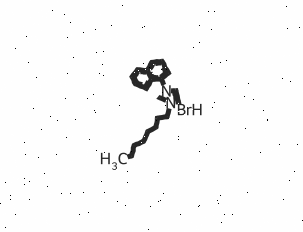 Br.CCCCCCCCN1C=CN(c2cccc3ccccc23)C1